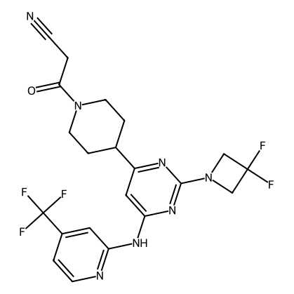 N#CCC(=O)N1CCC(c2cc(Nc3cc(C(F)(F)F)ccn3)nc(N3CC(F)(F)C3)n2)CC1